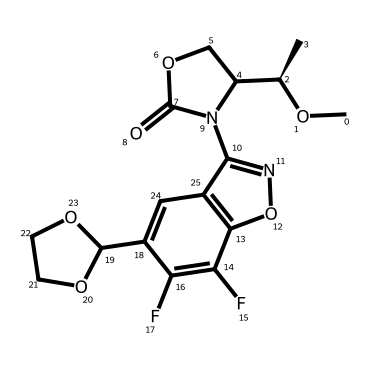 CO[C@H](C)C1COC(=O)N1c1noc2c(F)c(F)c(C3OCCO3)cc12